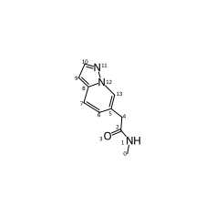 CNC(=O)Cc1ccc2ccnn2c1